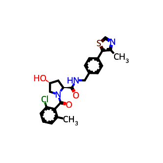 Cc1cccc(Cl)c1C(=O)N1C[C@H](O)C[C@H]1C(=O)NCc1ccc(-c2scnc2C)cc1